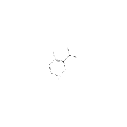 CC1=C(C(C)C)CNCC1